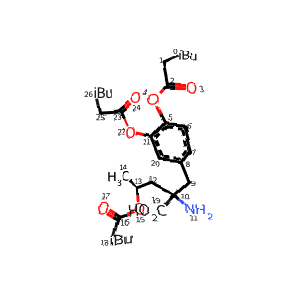 CCC(C)CC(=O)Oc1ccc(CC(N)(C[C@H](C)OC(=O)C(C)CC)C(=O)O)cc1OC(=O)CC(C)CC